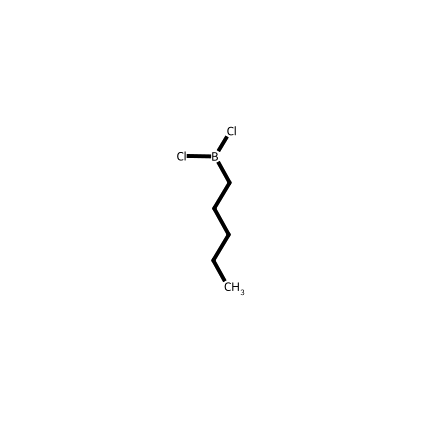 CCCCCB(Cl)Cl